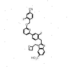 N#Cc1ccc(COc2cccc(-c3ccc(Cc4nc5ccc(C(=O)O)cc5n4CC4CCO4)c(F)c3)n2)c(F)c1